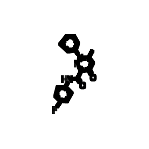 Cc1cc(=O)c(C(=O)Nc2ccc(F)cc2)nn1-c1ccccc1